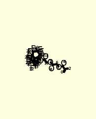 C=C(C)C(=O)OCC(=O)OCC(=O)OC12C(F)(F)C(C)(F)C(F)(F)C(F)(C(F)(F)C(F)(C(F)F)C1(F)F)C2(F)F